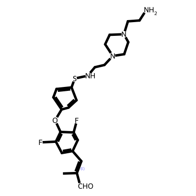 C/C(C=O)=C\c1cc(F)c(Oc2ccc(SNCCN3CCN(CCN)CC3)cc2)c(F)c1